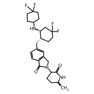 C=C1CCC(N2Cc3cc(C[C@H]4CCC(F)(F)C[C@@H]4NC4CCC(F)(F)CC4)ccc3C2=O)C(=O)N1